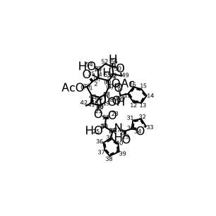 CC(=O)O[C@H]1C(=O)[C@@]2(C)[C@H]([C@H](OC(=O)c3ccccc3)[C@@]3(O)C[C@@H](OC(=O)[C@H](O)[C@@H](NC(=O)c4ccco4)c4ccccc4)C(C)=C1C3(C)C)[C@]1(OC(C)=O)CO[C@H]1C[C@@H]2O